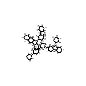 c1ccc(-c2ccc(-c3nc(-c4ccc5c6ccccc6n(-c6ccccc6)c5c4)nc(-c4cc5oc6ccccc6c5cc4-n4c5ccccc5c5cc6ccccc6cc54)n3)cc2)cc1